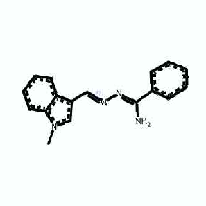 Cn1cc(/C=N/N=C(N)c2ccccc2)c2ccccc21